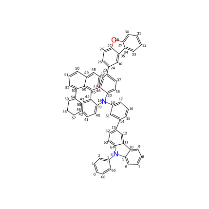 c1ccc(-n2c3ccccc3c3cc(-c4cccc(N(c5ccc(-c6ccc7oc8ccccc8c7c6)cc5)c5ccccc5-c5cccc6cccc(C7CCCCC7)c56)c4)ccc32)cc1